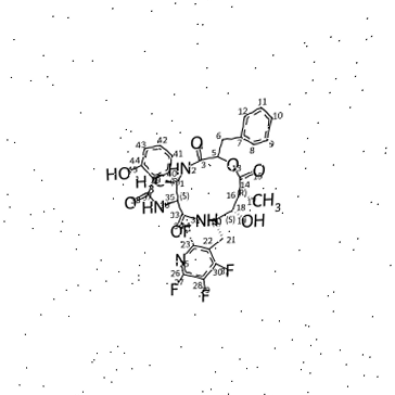 C[C@H]1NC(=O)C(Cc2ccccc2)OC(=O)[C@H](C)[C@H](O)[C@H](Cc2c(F)nc(F)c(F)c2F)NC(=O)[C@H]1NC(=O)c1ccccc1O